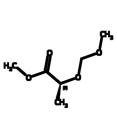 COCO[C@H](C)C(=O)OC